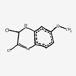 COc1ccc2c(c1)NC(Cl)C(Cl)=N2